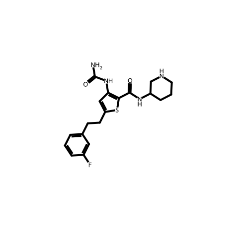 NC(=O)Nc1cc(CCc2cccc(F)c2)sc1C(=O)NC1CCCNC1